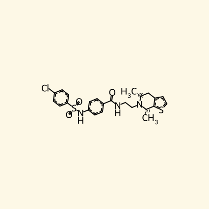 C[C@@H]1Cc2ccsc2[C@H](C)N1CCNC(=O)c1ccc(NS(=O)(=O)c2ccc(Cl)cc2)cc1